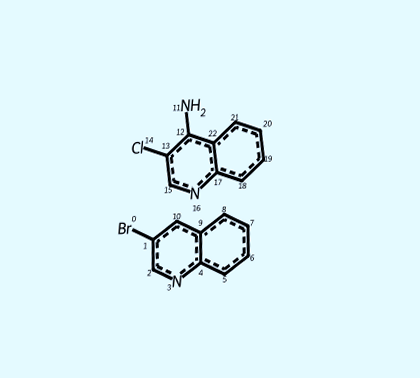 Brc1cnc2ccccc2c1.Nc1c(Cl)cnc2ccccc12